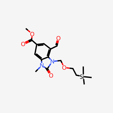 COC(=O)c1cc(C=O)c2c(c1)n(C)c(=O)n2COCC[Si](C)(C)C